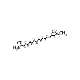 CCC(Cl)CCCCCCCCCCCCCCCC(C)Cl